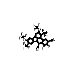 N#Cc1c(F)c(F)c2c(C#N)c3c4c(cc(OC(F)(F)F)c(C(F)(F)F)c4c2c1F)-c1cc(OC(F)(F)F)c(C(F)(F)F)cc1-3